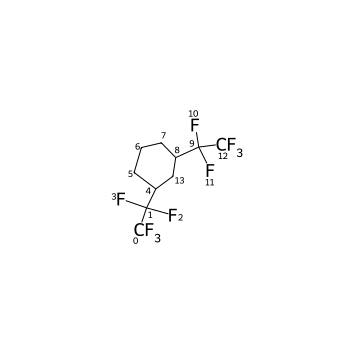 FC(F)(F)C(F)(F)C1CCCC(C(F)(F)C(F)(F)F)C1